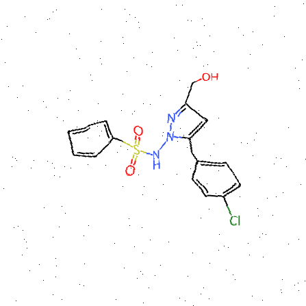 O=S(=O)(Nn1nc(CO)cc1-c1ccc(Cl)cc1)c1ccccc1